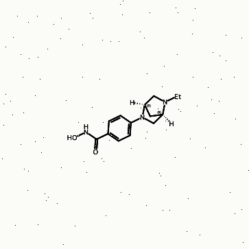 CCN1C[C@H]2C[C@@H]1CN2c1ccc(C(=O)NO)cc1